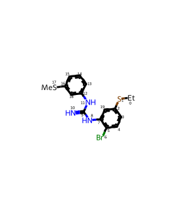 CCSc1ccc(Br)c(NC(=N)Nc2cccc(SC)c2)c1